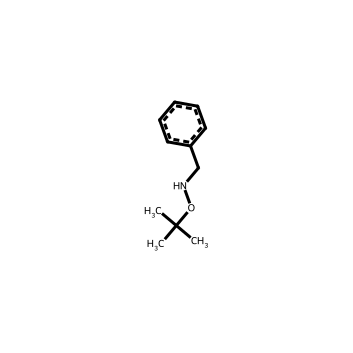 CC(C)(C)ONCc1ccccc1